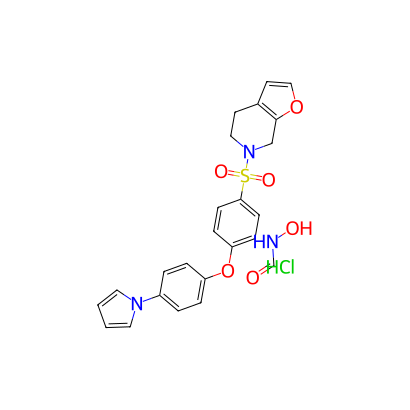 Cl.O=CNO.O=S(=O)(c1ccc(Oc2ccc(-n3cccc3)cc2)cc1)N1CCc2ccoc2C1